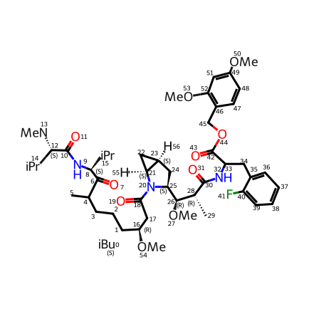 CC[C@H](C)C(CCC(C)C(=O)[C@@H](NC(=O)[C@@H](NC)C(C)C)C(C)C)[C@@H](CC(=O)N1[C@H]2C[C@H]2C[C@H]1[C@H](OC)[C@@H](C)C(=O)NC(Cc1ccccc1F)C(=O)OCc1ccc(OC)cc1OC)OC